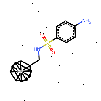 Nc1ccc(S(=O)(=O)NC[C]23[CH]4[CH]5[CH]6[CH]2[Fe]56432789[CH]3[CH]2[CH]7[CH]8[CH]39)cc1